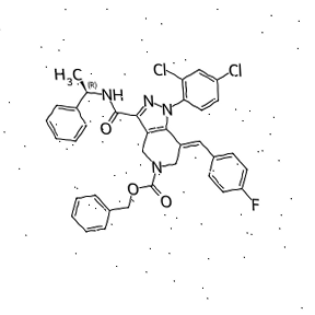 C[C@@H](NC(=O)c1nn(-c2ccc(Cl)cc2Cl)c2c1CN(C(=O)OCc1ccccc1)CC2=Cc1ccc(F)cc1)c1ccccc1